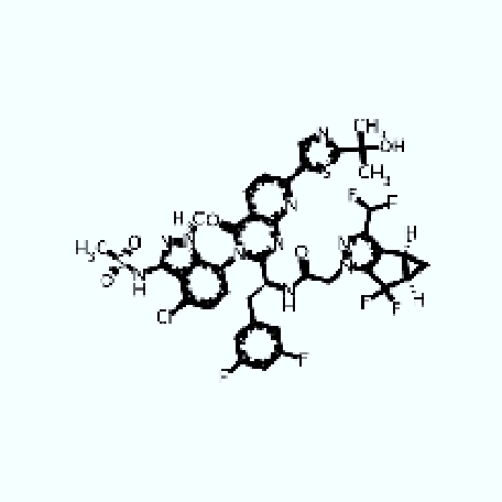 Cn1nc(NS(C)(=O)=O)c2c(Cl)ccc(-n3c([C@H](Cc4cc(F)cc(F)c4)NC(=O)Cn4nc(C(F)F)c5c4C(F)(F)[C@@H]4C[C@H]54)nc4nc(-c5cnc(C(C)(C)O)s5)ccc4c3=O)c21